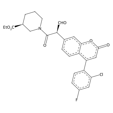 CCOC(=O)[C@H]1CCCN(C(=O)[C@@H](C=O)c2ccc3c(-c4ccc(F)cc4Cl)cc(=O)oc3c2)C1